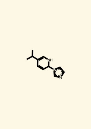 CC(C)C1=CNC(n2ccnc2)C=C1